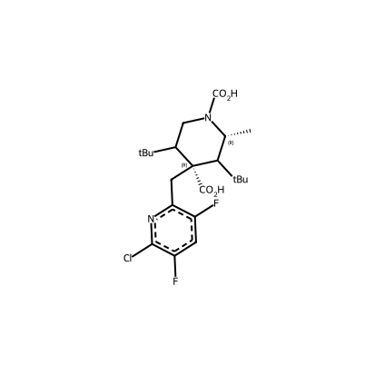 C[C@@H]1C(C(C)(C)C)[C@](Cc2nc(Cl)c(F)cc2F)(C(=O)O)C(C(C)(C)C)CN1C(=O)O